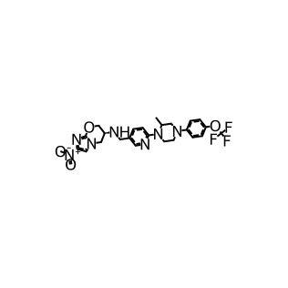 CC1CN(c2ccc(OC(F)(F)F)cc2)CCN1c1ccc(CN[C@@H]2COc3nc([N+](=O)[O-])cn3C2)cn1